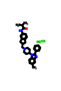 Cc1ccc2c(c1)nc(-c1ccccc1)n2C1CCN(C[C@@H]2Cc3ccc(NC(=O)C(C)C)cc3C2)CC1.Cl.Cl